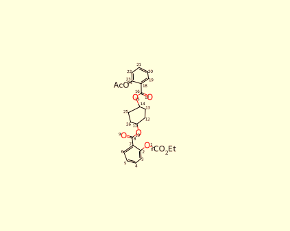 CCOC(=O)Oc1ccccc1C(=O)OC1CCC(OC(=O)c2ccccc2OC(C)=O)CC1